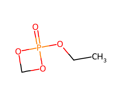 CCOP1(=O)OCO1